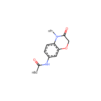 CCCCC(=O)Nc1ccc2c(c1)OCC(=O)N2CCC